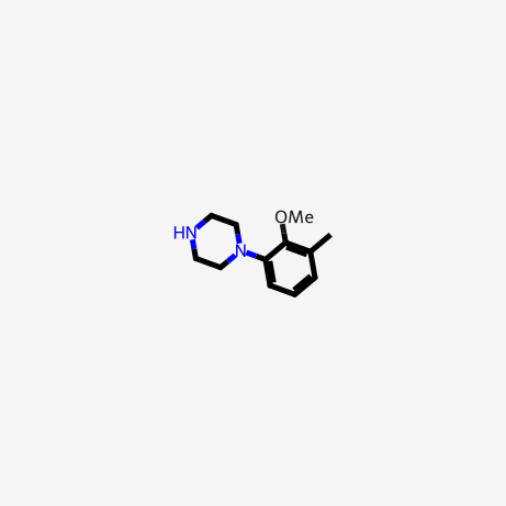 COc1c(C)cccc1N1CCNCC1